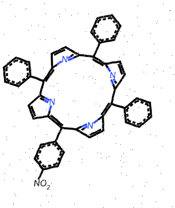 O=[N+]([O-])c1ccc(C2=C3C=CC(=N3)C(c3ccccc3)=C3C=CC(=N3)C(c3ccccc3)=C3C=CC(=N3)C(c3ccccc3)=C3C=CC2=N3)cc1